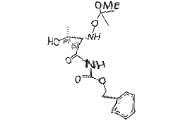 COC(C)(C)ON[C@H](C(=O)NC(=O)OCc1ccccc1)[C@@H](C)O